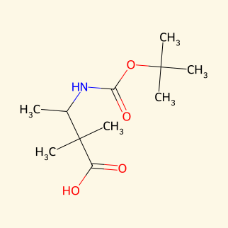 CC(NC(=O)OC(C)(C)C)C(C)(C)C(=O)O